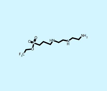 NCCNCCNCCCS(=O)(=O)OCC(F)(F)F